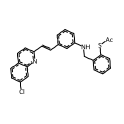 CC(=O)Sc1ccccc1CNc1cccc(C=Cc2ccc3ccc(Cl)cc3n2)c1